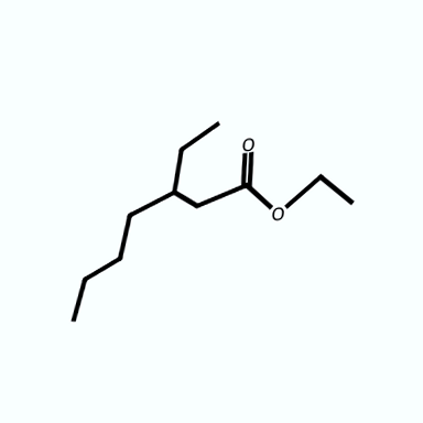 CCCCC(CC)CC(=O)OCC